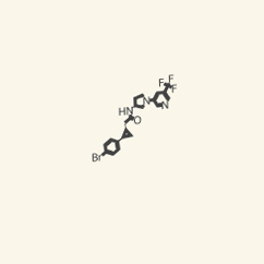 O=C(C[C@@H]1C[C@H]1c1ccc(Br)cc1)N[C@@H]1CCN(c2cncc(C(F)(F)F)c2)C1